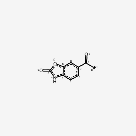 CC(C)C(=O)c1ccc2[nH]c(=O)oc2c1